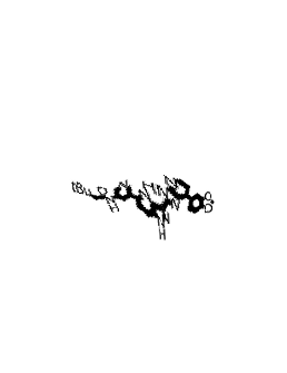 CC(C)(C)CC(=O)Nc1cncc(-c2ccc3[nH]nc(-c4nc5c(-c6ccc7c(c6)OCO7)ccnc5[nH]4)c3n2)c1